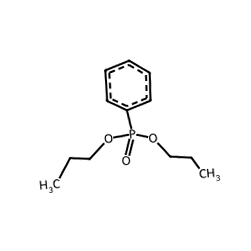 CCCOP(=O)(OCCC)c1ccccc1